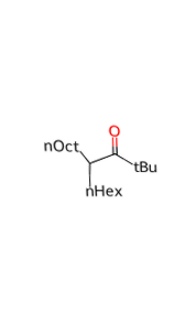 CCCCCCCCC(CCCCCC)C(=O)C(C)(C)C